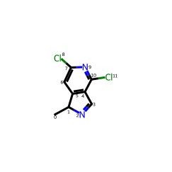 CC1N=Cc2c1cc(Cl)nc2Cl